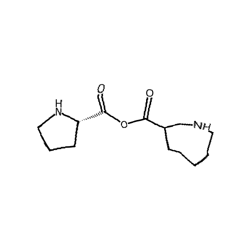 O=C(OC(=O)[C@@H]1CCCN1)C1CCCCN1